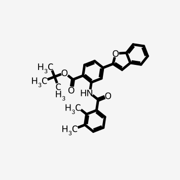 Cc1cccc(C(=O)Nc2cc(-c3cc4ccccc4o3)ccc2C(=O)OC(C)(C)C)c1C